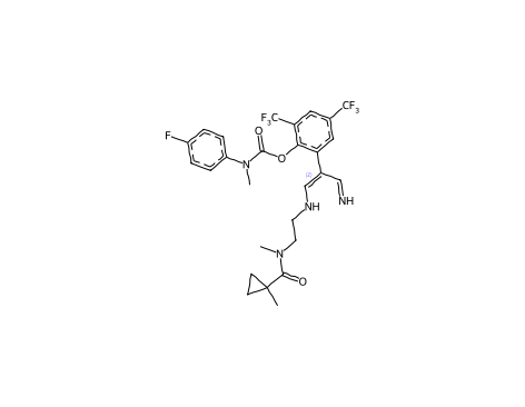 CN(CCN/C=C(\C=N)c1cc(C(F)(F)F)cc(C(F)(F)F)c1OC(=O)N(C)c1ccc(F)cc1)C(=O)C1(C)CC1